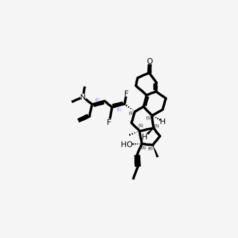 C=C/C(=C\C(F)=C(/F)[C@H]1C[C@@]2(C)[C@@H](C[C@@H](C)[C@@]2(O)C#CC)[C@@H]2CCC3=CC(=O)CCC3=C21)N(C)C